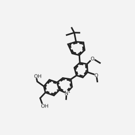 COc1cc(-c2cc3cc(CO)c(CO)cc3[n+](C)c2)cc(-c2ccc(C(C)(C)C)cc2)c1OC